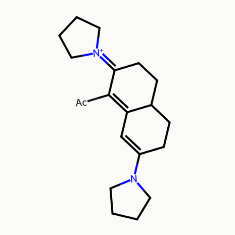 CC(=O)C1=C2C=C(N3CCCC3)CCC2CCC1=[N+]1CCCC1